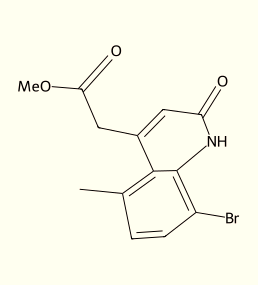 COC(=O)Cc1cc(=O)[nH]c2c(Br)ccc(C)c12